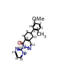 COc1ccc(C)c(C2CCc3c(cnn(-c4ncccn4)c3=O)C2)c1